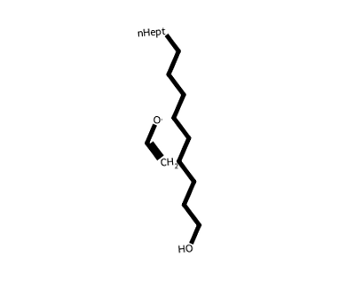 C=C[O].CCCCCCCCCCCCCCCCO